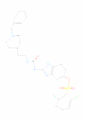 O=C(NCCC1CCN(Cc2ccccc2)CC1)Nc1nc2cc(OS(=O)(=O)c3c(Cl)cccc3Cl)ccc2[nH]1